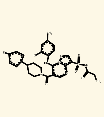 CCC(=O)NS(=O)(=O)c1cnn2c(Nc3ccc(C)cc3Cl)c(C(=O)N3CCC(c4ccc(F)cc4)CC3)cnc12